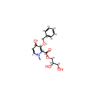 Cn1ccc(=O)c(OCc2ccccc2)c1C(=O)OCC(O)CO